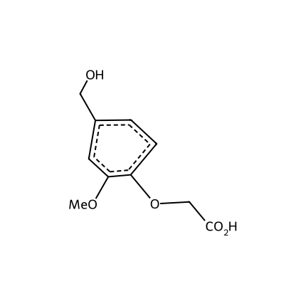 COc1cc(CO)ccc1OCC(=O)O